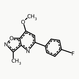 COc1cc(-c2ccc(F)cc2)nc2c(C)noc12